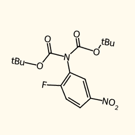 CC(C)(C)OC(=O)N(C(=O)OC(C)(C)C)c1cc([N+](=O)[O-])ccc1F